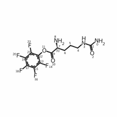 NC(=O)NCCC[C@H](N)C(=O)Oc1c(F)c(F)c(F)c(F)c1F